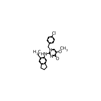 CCc1cc2c(cc1Nc1nc(=O)c(OC)cn1Cc1ccc(Cl)cc1)CCC2